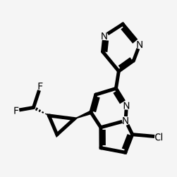 FC(F)[C@H]1C[C@@H]1c1cc(-c2cncnc2)nn2c(Cl)ccc12